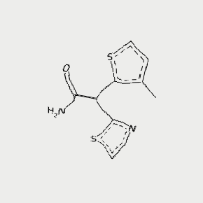 Cc1ccsc1C(C(N)=O)c1nccs1